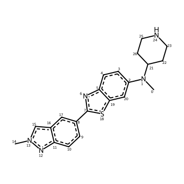 CN(c1ccc2nc(-c3ccc4nn(C)cc4c3)sc2c1)C1CCNCC1